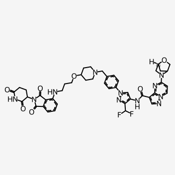 O=C1CCC(N2C(=O)c3cccc(NCCCOC4CCN(Cc5ccc(-n6cc(NC(=O)c7cnn8ccc(N9C[C@H]%10CC9CO%10)nc78)c(C(F)F)n6)cc5)CC4)c3C2=O)C(=O)N1